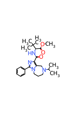 COC(=O)[C@@H](NC(=O)c1nc(-c2ccccc2)n2c1CN(C(C)C)CCC2)C(C)(C)C